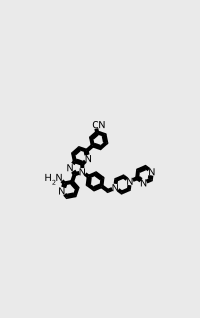 N#Cc1cccc(-c2ccc3nc(-c4cccnc4N)n(-c4ccc(CN5CCN(c6ccncn6)CC5)cc4)c3n2)c1